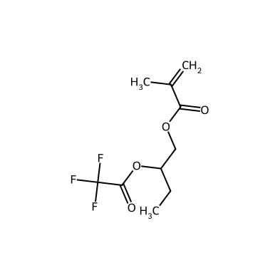 C=C(C)C(=O)OCC(CC)OC(=O)C(F)(F)F